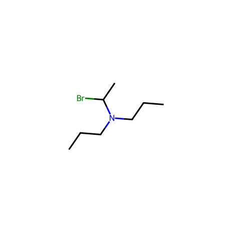 CCCN(CCC)C(C)Br